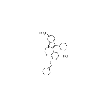 Cl.O=C(O)c1ccc2c(C3CCCCC3)c3n(c2c1)CCOc1c(CCN2CCCCC2)cccc1-3